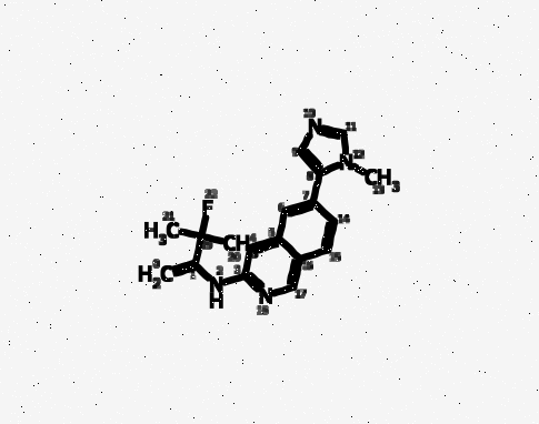 C=C(Nc1cc2cc(-c3cncn3C)ccc2cn1)C(C)(C)F